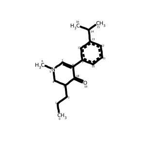 CCCC1CN(C)C=C(c2cccc(C(C)C)c2)C1=O